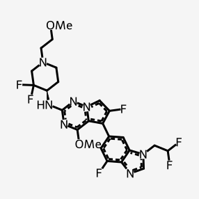 COCCN1CC[C@@H](Nc2nc(OC)c3c(-c4cc(F)c5ncn(CC(F)F)c5c4)c(F)cn3n2)C(F)(F)C1